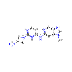 CC(C)n1cnc2cnc(Nc3ccnc(N4CC(N)C4)n3)cc21